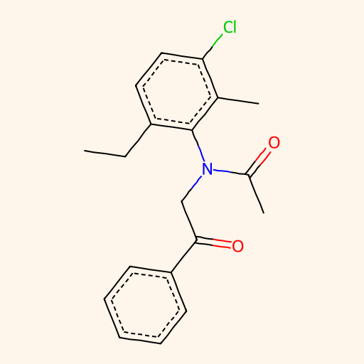 CCc1ccc(Cl)c(C)c1N(CC(=O)c1ccccc1)C(C)=O